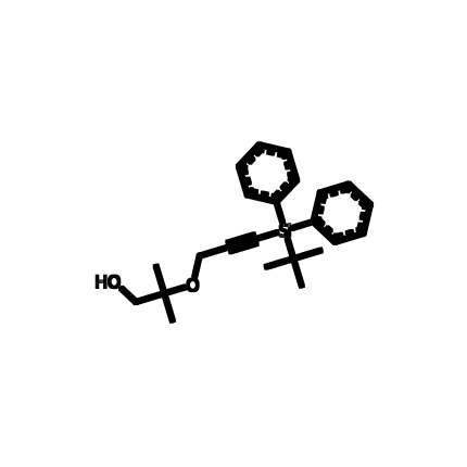 CC(C)(CO)OCC#C[Si](c1ccccc1)(c1ccccc1)C(C)(C)C